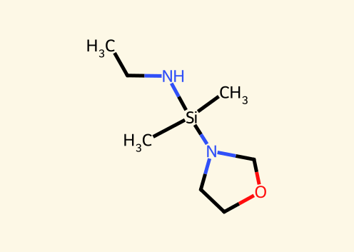 CCN[Si](C)(C)N1CCOC1